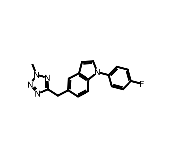 Cn1nnc(Cc2ccc3c(ccn3-c3ccc(F)cc3)c2)n1